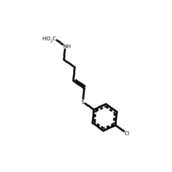 O=C(O)NCC/C=C/Sc1ccc(Cl)cc1